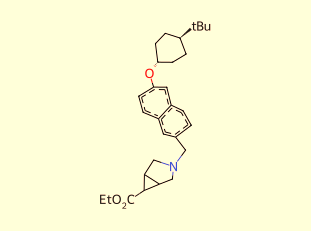 CCOC(=O)C1C2CN(Cc3ccc4cc(O[C@H]5CC[C@H](C(C)(C)C)CC5)ccc4c3)CC21